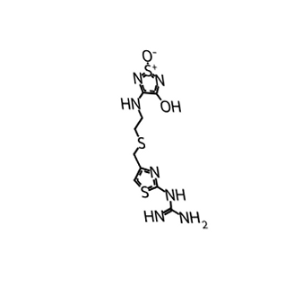 N=C(N)Nc1nc(CSCCNc2n[s+]([O-])nc2O)cs1